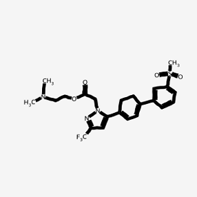 CN(C)CCOC(=O)Cn1nc(C(F)(F)F)cc1C1=CC=C(c2cccc(S(C)(=O)=O)c2)CC1